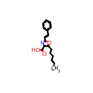 CCCCCCc1oc(C=Cc2ccccc2)nc1C(=O)O